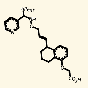 CCCCCC(NOC/C=C/C1CCCc2c(OCC(=O)O)cccc21)c1cccnc1